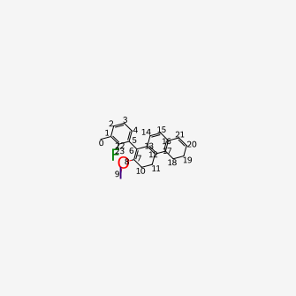 Cc1cccc(C2=C(OI)CCc3c2ccc2c3CCC=C2)c1F